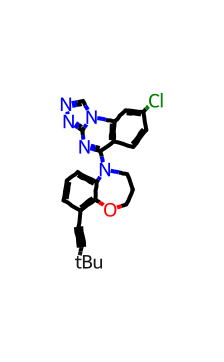 CC(C)(C)C#Cc1cccc2c1OCCCN2c1nc2nncn2c2cc(Cl)ccc12